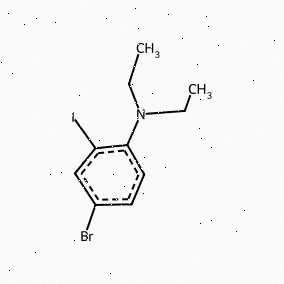 CCN(CC)c1ccc(Br)cc1I